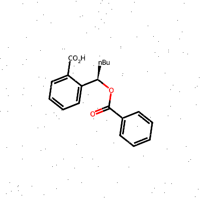 CCCC[C@@H](OC(=O)c1ccccc1)c1ccccc1C(=O)O